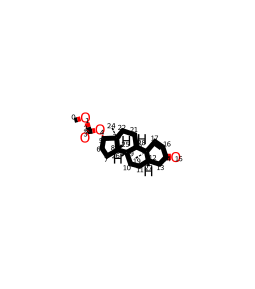 COC(=O)O[C@H]1CC[C@H]2[C@@H]3CC[C@H]4CC(=O)C=C[C@]4(C)[C@H]3CC[C@]12C